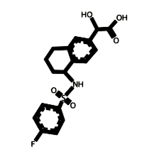 O=C(O)C(O)c1ccc2c(c1)CCCC2NS(=O)(=O)c1ccc(F)cc1